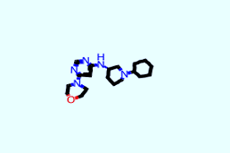 c1nc(N[C@@H]2CCCN(C3CCCCC3)C2)cc(N2CCOCC2)n1